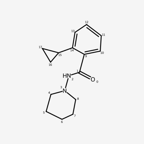 O=C(NN1CCCCC1)c1ccccc1C1CC1